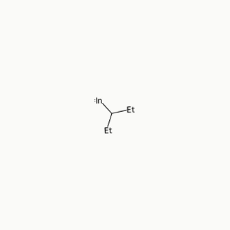 CC[CH]([In])CC